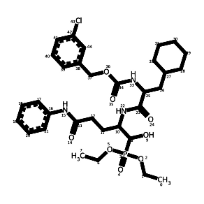 CCOP(=O)(OCC)C(O)C(CCC(=O)Nc1ccccc1)NC(=O)C(CC1CCCCC1)NC(=O)OCc1cccc(Cl)c1